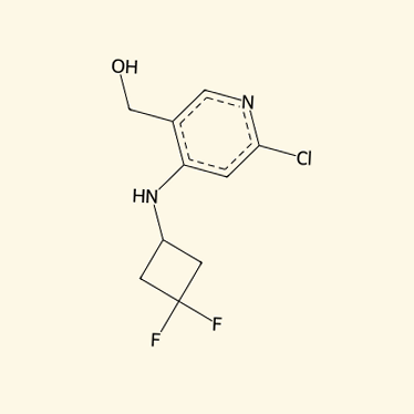 OCc1cnc(Cl)cc1NC1CC(F)(F)C1